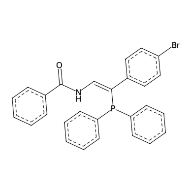 O=C(NC=C(c1ccc(Br)cc1)P(c1ccccc1)c1ccccc1)c1ccccc1